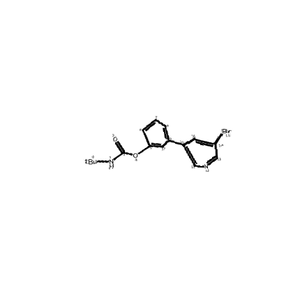 CC(C)(C)NC(=O)Oc1cccc(-c2cncc(Br)c2)c1